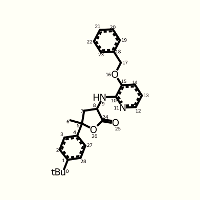 CC(C)(C)c1ccc(C2(C)CC(Nc3ncccc3OCc3ccccc3)C(=O)O2)cc1